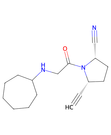 C#C[C@H]1CC[C@@H](C#N)N1C(=O)CNC1CCCCCC1